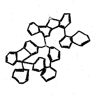 C1=Cc2cccc(-c3cccc4oc5c6ccccc6c(N(c6cccc(-c7ccccc7)c6)c6ccc7c(c6)C(c6ccccc6)(c6ccccc6)c6ccccc6-7)cc5c34)c2CC1